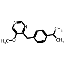 COc1cncnc1Cc1ccc(I(C)C)cc1